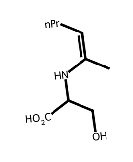 CCCC=C(C)NC(CO)C(=O)O